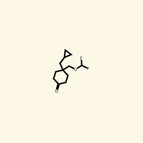 O=C1CCC(COC(F)F)(CC2CC2)CC1